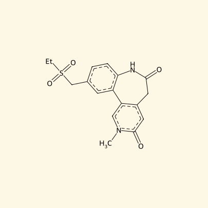 CCS(=O)(=O)Cc1ccc2c(c1)-c1cn(C)c(=O)cc1CC(=O)N2